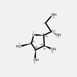 OC[C@H](O)[C@@H]1O[C@H](O)[C@H](O)[C@@H]1O